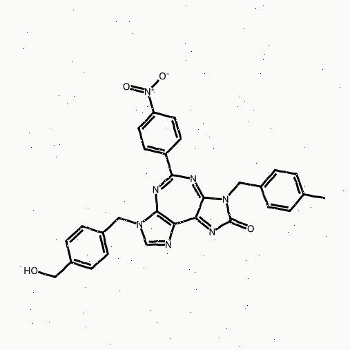 Cc1ccc(Cn2c3nc(-c4ccc([N+](=O)[O-])cc4)nc4c(ncn4Cc4ccc(CO)cc4)c-3nc2=O)cc1